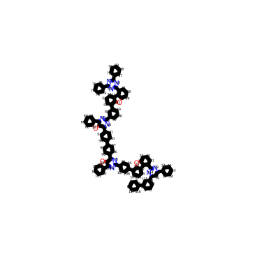 c1ccc(-c2cccc(-c3cc(-c4ccccc4)nc(-c4cccc5oc6c(-c7ccc(-c8nc(-c9ccc(-c%10ccc(-c%11nc(-c%12cccc(-c%13cccc%14c%13oc%13cccc(-c%15nc(-c%16ccccc%16)nc(-c%16ccccc%16)n%15)c%13%14)c%12)nc%12c%11oc%11ccccc%11%12)cc%10)cc9)c9oc%10ccccc%10c9n8)cc7)cccc6c45)n3)c2)cc1